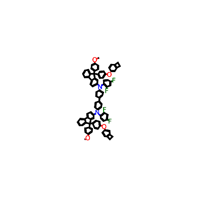 COc1ccc(C2(c3ccc(Oc4ccc5c(c4)CC5)cc3)c3ccccc3-c3ccc(N(c4ccc(-c5ccc(N(c6ccc7c(c6)C(c6ccc(OC)cc6)(c6ccc(Oc8ccc9c(c8)CC9)cc6)c6ccccc6-7)c6ccc(F)cc6F)cc5)cc4)c4ccc(F)cc4F)cc32)cc1